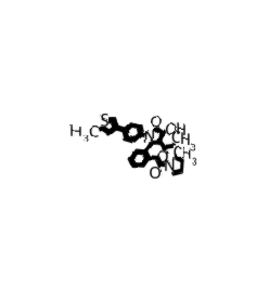 Cc1cc(-c2ccc(N3C(=O)C(O)=C(C(=O)C(C)C)C3c3ccccc3CC(=O)N3CCCC3)cc2)cs1